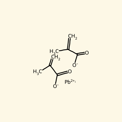 C=C(C)C(=O)[O-].C=C(C)C(=O)[O-].[Pb+2]